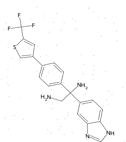 NCC(N)(c1ccc(-c2csc(C(F)(F)F)c2)cc1)c1ccc2[nH]cnc2c1